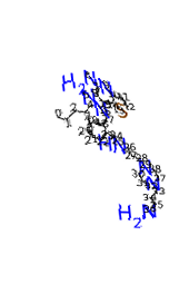 CCCCc1nc2c(N)nc3ccsc3c2n1Cc1ccccc1CNCCCN1CCN(CCCN)CC1